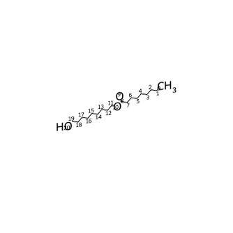 CCCCCCCCC(=O)OCCCCCCCCCO